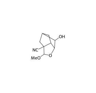 COC1OC2C(O)C3CC2C1(C#N)C3